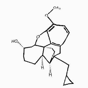 COc1ccc2c3c1OC1[C@@H](O)CC[C@@H]4[C@H](C2)N(CC2CC2)CC[C@@]314